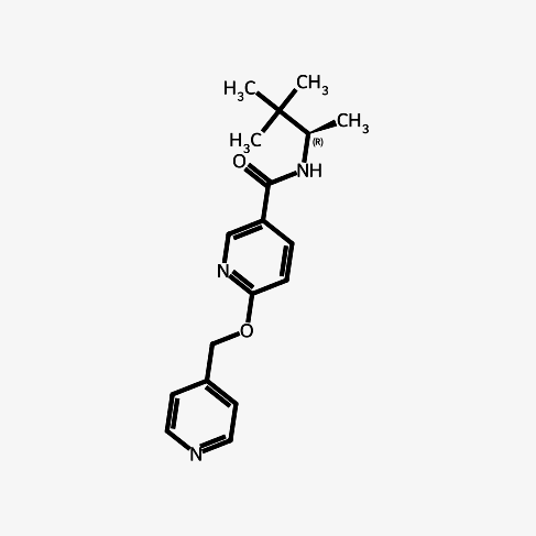 C[C@@H](NC(=O)c1ccc(OCc2ccncc2)nc1)C(C)(C)C